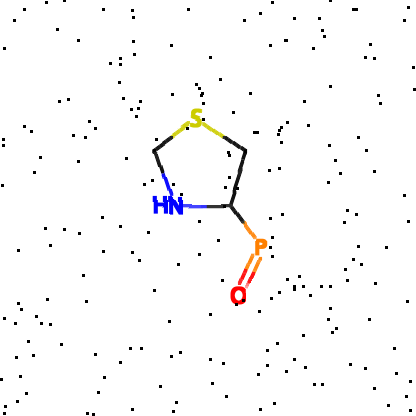 O=PC1CSCN1